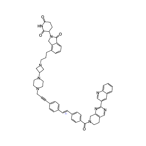 O=C1CCC(N2Cc3c(CCCN4CC(N5CCN(CC#Cc6ccc(/C=C/c7ccc(C(=O)N8CCc9cnc(-c%10cnc%11ccccc%11c%10)nc9C8)cc7)cc6)CC5)C4)cccc3C2=O)C(=O)N1